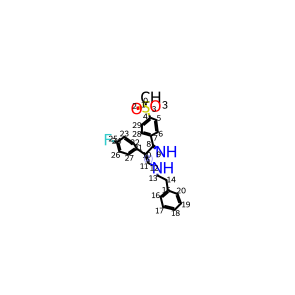 CS(=O)(=O)c1ccc(C(=N)/C(=C\NCCc2ccccc2)c2ccc(F)cc2)cc1